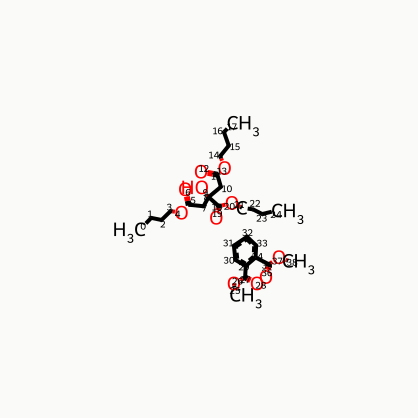 CCCCOC(=O)CC(O)(CC(=O)OCCCC)C(=O)OCCCC.COC(=O)c1ccccc1C(=O)OC